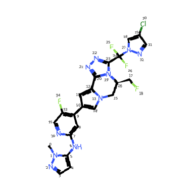 Cn1nccc1Nc1cc(-c2cc3n(c2)C[C@H](CF)n2c-3nnc2C(F)(F)n2cc(Cl)cn2)c(F)cn1